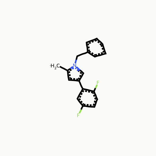 [CH2]c1cc(-c2cc(F)ccc2F)cn1Cc1ccccc1